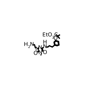 CCOC(=O)C(C)(C)Oc1cccc(CCCNc2nn(CCN)c(=O)n(C)c2=O)c1